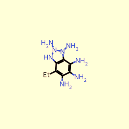 CCc1c(N)c(N)c(N)c2c1NN(N)N2N